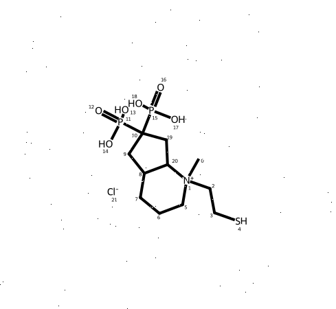 C[N+]1(CCS)CCCC2CC(P(=O)(O)O)(P(=O)(O)O)CC21.[Cl-]